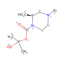 CCN1CCN(C(=O)OC(C)(C)O)[C@@H](C(=O)O)C1